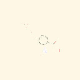 COCCOc1ccc(C(=O)O)c(N=O)c1